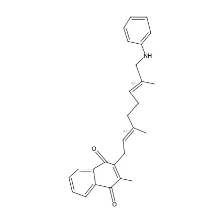 CC1=C(C/C=C(\C)CC/C=C(\C)CNc2ccccc2)C(=O)c2ccccc2C1=O